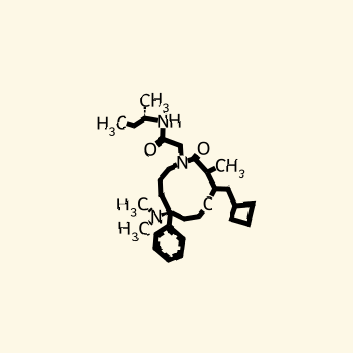 CC[C@H](C)NC(=O)CN1CCC[C@](c2ccccc2)(N(C)C)CCCC(CC2CCC2)C(C)C1=O